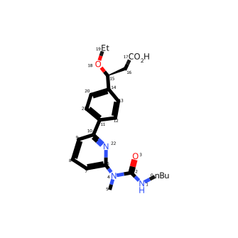 CCCCNC(=O)N(C)c1cccc(-c2ccc([C@H](CC(=O)O)OCC)cc2)n1